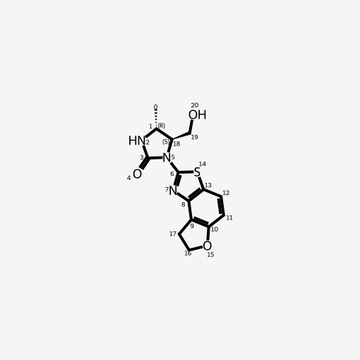 C[C@H]1NC(=O)N(c2nc3c4c(ccc3s2)OCC4)[C@@H]1CO